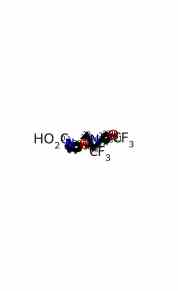 O=C(O)Cn1ccc2ccc(OCc3c(C(F)(F)F)cc(-c4ccc(OC(F)(F)F)cc4)nc3C3CC3)cc21